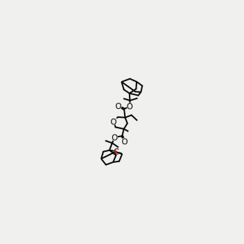 CCC1(C(=O)OC(C)(C)C23CC4CC(CC(C4)C2)C3)COCC(C)(C(=O)OC(C)(C)C23CC4CC(CC(C4)C2)C3)C1